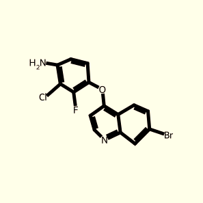 Nc1ccc(Oc2ccnc3cc(Br)ccc23)c(F)c1Cl